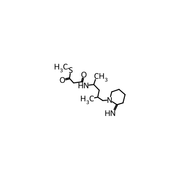 CSC(=O)CC(=O)NC(C)CC(C)CN1CCCCC1=N